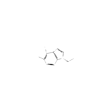 CCn1ccc2c(F)c(O)ccc21